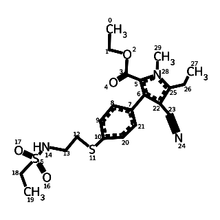 CCOC(=O)c1c(-c2ccc(SCCNS(=O)(=O)CC)cc2)c(C#N)c(CC)n1C